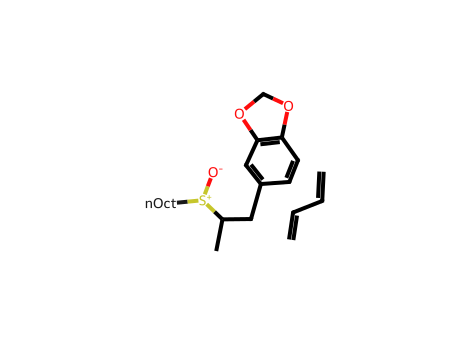 C=CC=C.CCCCCCCC[S+]([O-])C(C)Cc1ccc2c(c1)OCO2